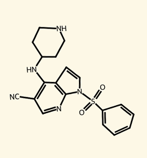 N#Cc1cnc2c(ccn2S(=O)(=O)c2ccccc2)c1NC1CCNCC1